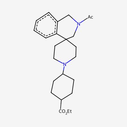 CCOC(=O)C1CCC(N2CCC3(CC2)CN(C(C)=O)Cc2ccccc23)CC1